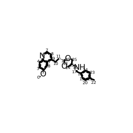 COc1ccc2nccc(CC[C@H]3OC[C@H](NCc4ccc(C)cc4)CO3)c2c1